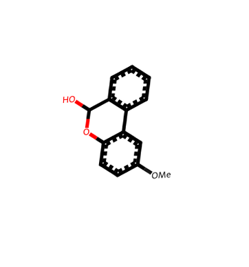 COc1ccc2c(c1)-c1ccccc1C(O)O2